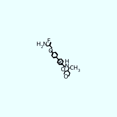 C[C@H](NC(=O)C12CCC(c3ccc(OC/C(=C/F)CN)cc3)(CC1)CC2)C1CCOCC1